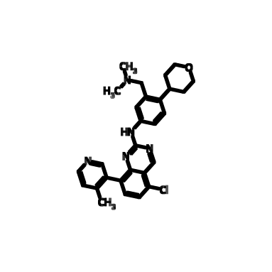 Cc1ccncc1-c1ccc(Cl)c2cnc(Nc3ccc(C4CCOCC4)c(CN(C)C)c3)nc12